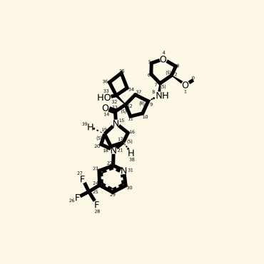 CO[C@@H]1COCC[C@@H]1N[C@@H]1CC[C@@](C(=O)N2C[C@@H]3C[C@H]2CN3c2cc(C(F)(F)F)ccn2)(C2(O)CCC2)C1